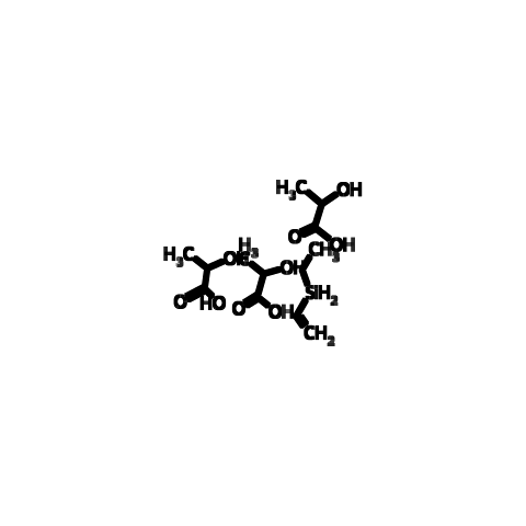 C=C[SiH2]CC.CC(O)C(=O)O.CC(O)C(=O)O.CC(O)C(=O)O